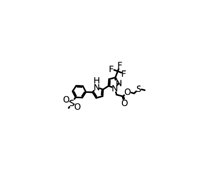 CSCOC(=O)Cn1nc(C(F)(F)F)cc1-c1ccc(-c2cccc(S(C)(=O)=O)c2)[nH]1